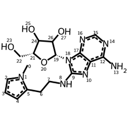 Cn1cccc1CCNc1nc2c(N)ncnc2n1[C@@H]1O[C@H](CO)C(O)C1O